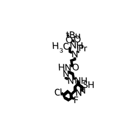 CC(C)CN(CCC(=O)Nc1cc(Nc2cc(-c3cc(Cl)ccc3F)nnc2S)ncn1)CC(C)NC(=O)OC(C)(C)C